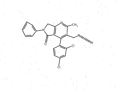 Cc1nc2c(c(-c3ccc(Cl)cc3Cl)c1CN=[N+]=[N-])C(=O)N(c1ccccc1)C2